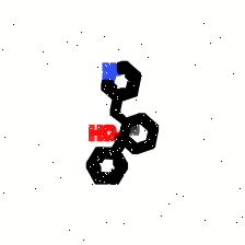 O[C@]1(c2ccccc2)CCCC[C@@H]1Cc1cccnc1